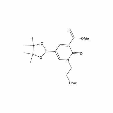 COCCn1cc(B2OC(C)(C)C(C)(C)O2)cc(C(=O)OC)c1=O